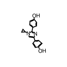 Oc1ccc(-c2cn(C3CC3)c(-c3ccc(O)cc3)n2)cc1